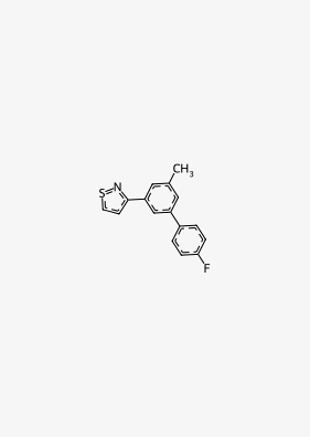 Cc1cc(-c2ccc(F)cc2)cc(-c2ccsn2)c1